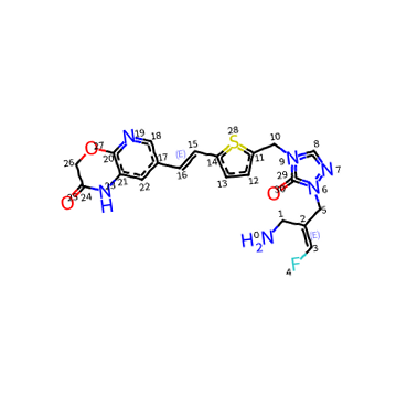 NC/C(=C\F)Cn1ncn(Cc2ccc(/C=C/c3cnc4c(c3)NC(=O)CO4)s2)c1=O